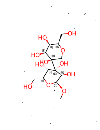 CO[C@H]1O[C@H](CO)[C@H](O)[C@@](O)([C@@]2(O)CO[C@H](CO)[C@H](O)[C@@H]2O)[C@H]1O